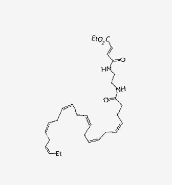 CC/C=C\C/C=C\C/C=C\C/C=C\C/C=C\C/C=C\CCC(=O)NCCNC(=O)/C=C/C(=O)OCC